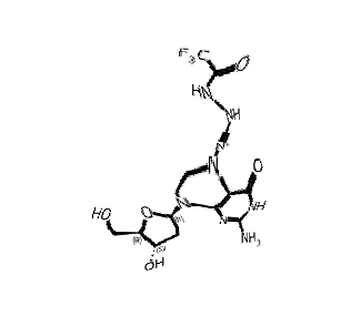 Nc1nc2c(c(=O)[nH]1)N([N+]#CNNC(=O)C(F)(F)F)CN2[C@H]1C[C@H](O)[C@@H](CO)O1